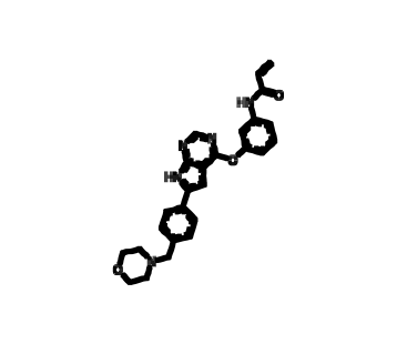 C=CC(=O)Nc1cccc(Oc2ncnc3[nH]c(-c4ccc(CN5CCOCC5)cc4)cc23)c1